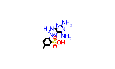 Cc1ccc(N=Nc2c(N)nc(N)nc2N)c(S(=O)(=O)O)c1